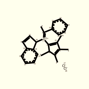 CC1=C(C)C(C)[C](/[Zr+2](=[C](/C)c2ccccc2)[CH]2C=Cc3ccccc32)=C1C.[Cl-].[Cl-]